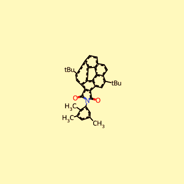 Cc1cc(C)c(C)c(-n2c(=O)c3c4cc(C(C)(C)C)c5ccc6ccc7c(C(C)(C)C)cc(c3c2=O)c2c7c6c5c42)c1